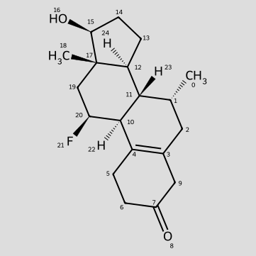 C[C@@H]1CC2=C(CCC(=O)C2)[C@@H]2[C@@H]1[C@@H]1CC[C@H](O)[C@@]1(C)C[C@@H]2F